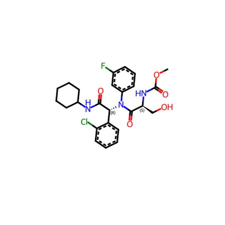 COC(=O)N[C@@H](CO)C(=O)N(c1cccc(F)c1)[C@@H](C(=O)NC1CCCCC1)c1ccccc1Cl